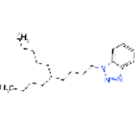 CCCCCC(CCCC)CCCCn1nnc2ccccc21